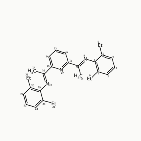 CCc1cccc(CC)c1N=C(C)c1cccc(C(C)=Nc2c(CC)cccc2CC)n1